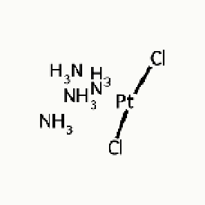 N.N.N.N.[Cl][Pt][Cl]